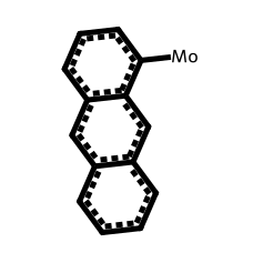 [Mo][c]1cccc2cc3ccccc3cc12